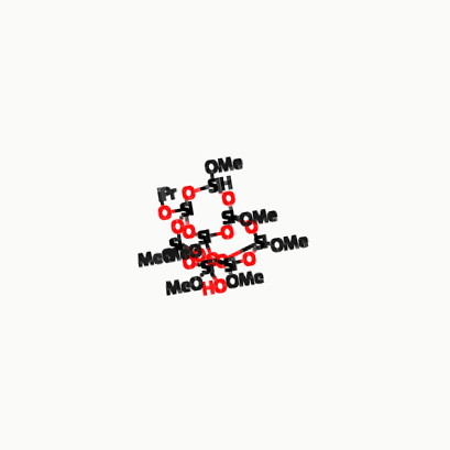 CO[SiH]1O[Si]2(OC)O[Si]3(OC)O[Si](O)(OC)O[Si]4(OC)O[Si](OC(C)C)(O1)O[Si](OC)(O2)O[Si](OC)(O3)O4